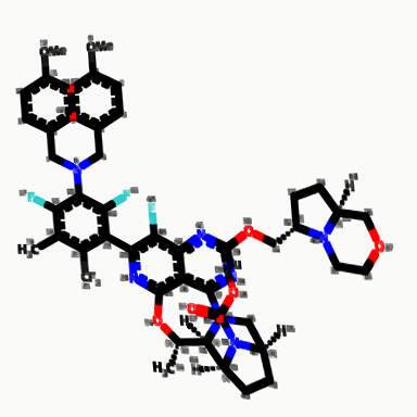 COc1ccc(CN(Cc2ccc(OC)cc2)c2c(F)c(C)c(C(F)(F)F)c(-c3nc4c5c(nc(OC[C@@H]6CC[C@H]7COCCN76)nc5c3F)N3C[C@H]5CC[C@@H]([C@H]3[C@H](C)O4)N5C(=O)OC(C)(C)C)c2F)cc1